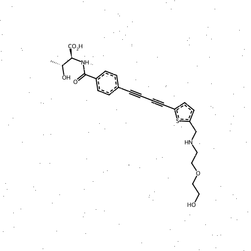 C[C@@H](O)[C@H](NC(=O)c1ccc(C#CC#Cc2ccc(CNCCOCCO)s2)cc1)C(=O)O